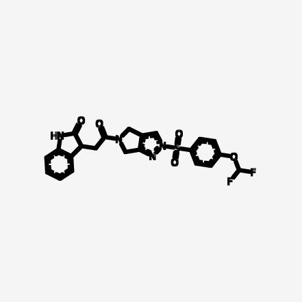 O=C1Nc2ccccc2C1CC(=O)N1Cc2cn(S(=O)(=O)c3ccc(OC(F)F)cc3)nc2C1